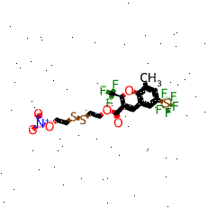 Cc1cc(S(F)(F)(F)(F)F)cc2c1O[C@H](C(F)(F)F)C(C(=O)OCCSSCCO[N+](=O)[O-])=C2